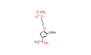 COc1cc(C(C)O)ccc1OCCCOS(C)(=O)=O